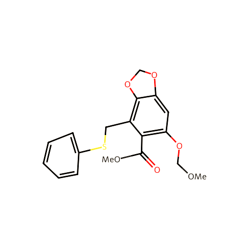 COCOc1cc2c(c(CSc3ccccc3)c1C(=O)OC)OCO2